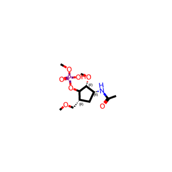 COC[C@H]1C[C@@H](NC(C)=O)[C@@H](OC)C1OP(=O)(O)OC